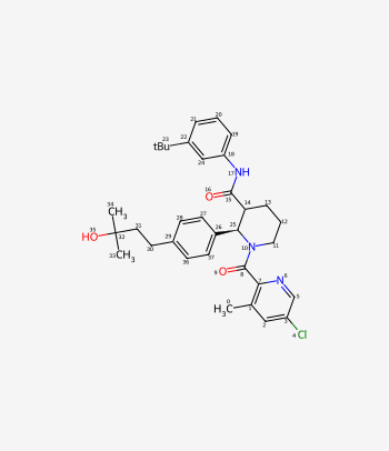 Cc1cc(Cl)cnc1C(=O)N1CCCC(C(=O)Nc2cccc(C(C)(C)C)c2)[C@@H]1c1ccc(CCC(C)(C)O)cc1